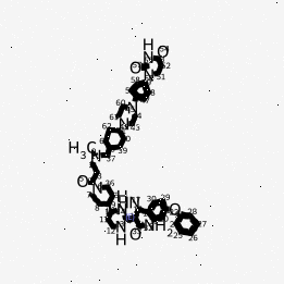 CN(CCC(=O)N1CCC([C@@H]2CCN/C(=C(/C(=N)c3ccc(Oc4ccccc4)cc3)C(N)=O)N2)CC1)CC1CCC(N2CCN(c3ccc(N4CCC(=O)NC4=O)cc3)CC2)CC1